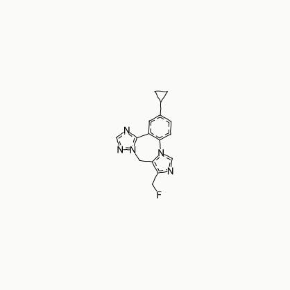 FCc1ncn2c1Cn1ncnc1-c1cc(C3CC3)ccc1-2